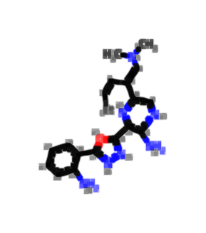 CC/C=C\C(=C/N(C)C)c1cnc(N)c(-c2nnc(-c3ccccc3N)o2)n1